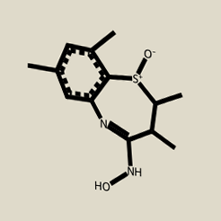 Cc1cc(C)c2c(c1)N=C(NO)C(C)C(C)[S+]2[O-]